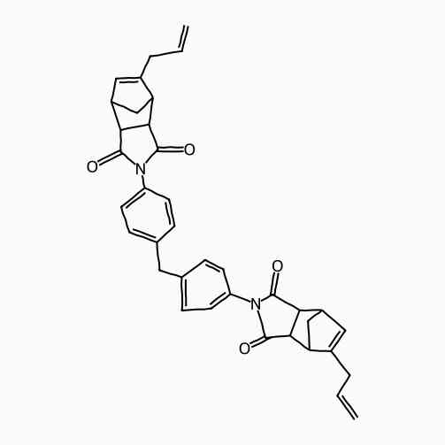 C=CCC1=CC2CC1C1C(=O)N(c3ccc(Cc4ccc(N5C(=O)C6C7C=C(CC=C)C(C7)C6C5=O)cc4)cc3)C(=O)C21